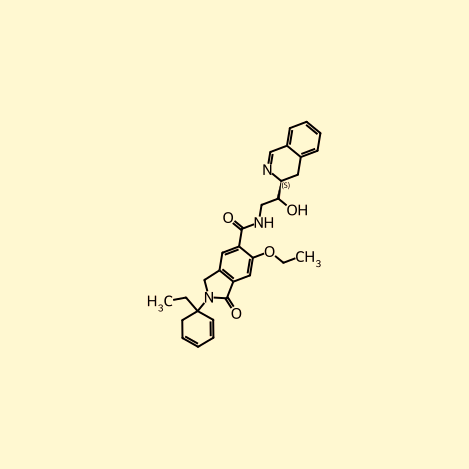 CCOc1cc2c(cc1C(=O)NCC(O)[C@@H]1Cc3ccccc3C=N1)CN(C1(CC)C=CC=CC1)C2=O